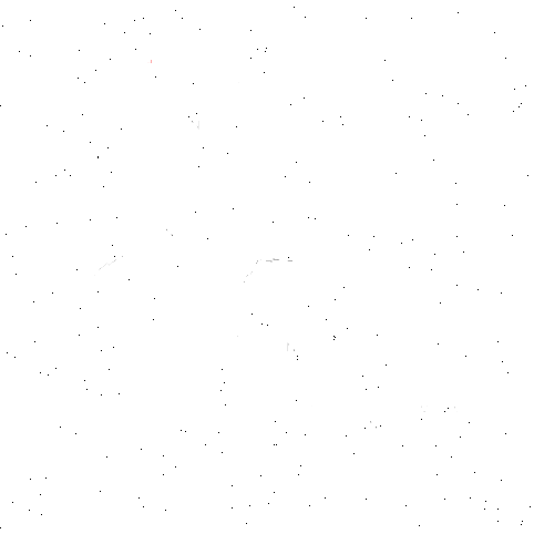 c1ccc(-c2cc(-c3cccc(-c4cc5c6c(c4)B4c7cccc8c7N(c7ccccc7S8)c7c(-c8ccccc8)cc(-c8ccccc8)c(c74)N6c4ccccc4S5)c3)c3c4c2N2c5ccccc5Oc5cccc(c52)B4c2cccc4c2N3c2ccccc2O4)cc1